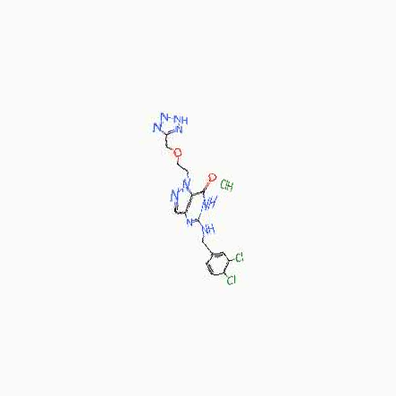 Cl.O=c1[nH]c(NCc2ccc(Cl)c(Cl)c2)nc2cnn(CCOCc3nn[nH]n3)c12